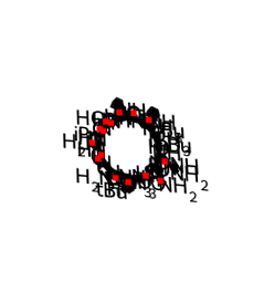 CCCC[C@H]1C(=O)N(C)[C@@H](CCCC)C(=O)N[C@@H](CCCNC(=N)N)C(=O)N[C@H](C(=O)NCC(N)=O)CSCC(=O)N[C@@H](Cc2ccc(C(C)(C)C)cc2)C(=O)N(C)[C@@H](C)C(=O)N[C@@H](CC(N)=O)C(=O)N2CCC[C@H]2C(=O)N[C@@H](CN)C(=O)N[C@@H](CC(C)C)C(=O)N2C[C@H](O)C[C@H]2C(=O)N[C@@H](Cc2c[nH]c3ccccc23)C(=O)N[C@@H](CO)C(=O)N[C@@H](Cc2c[nH]c3ccccc23)C(=O)N1C